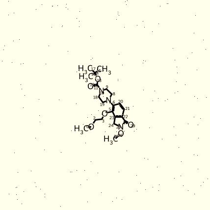 COCCOc1c(N2CCN(C(=O)OC(C)(C)C)CC2)ccc2c1CN(OC)C2=O